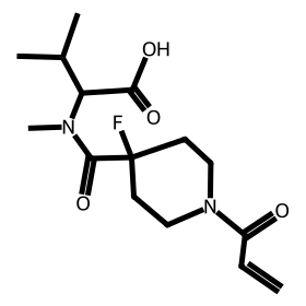 C=CC(=O)N1CCC(F)(C(=O)N(C)C(C(=O)O)C(C)C)CC1